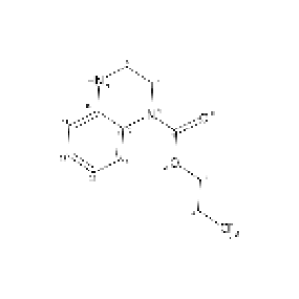 O=C(OCCC(F)(F)F)N1CCNc2ccccc21